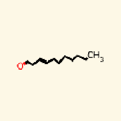 CCCCCCC/C=C/CC=O